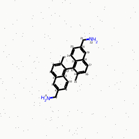 Cc1ccc2cc(CN)ccc2c1-c1c(C)ccc2cc(CN)ccc12